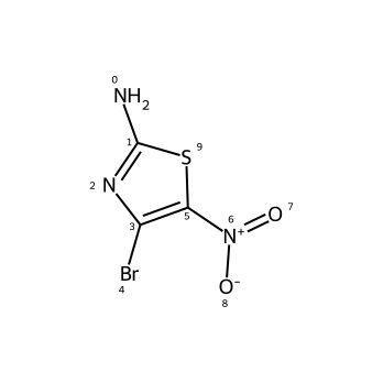 Nc1nc(Br)c([N+](=O)[O-])s1